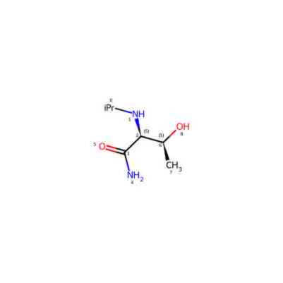 CC(C)N[C@H](C(N)=O)[C@H](C)O